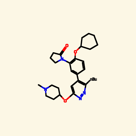 CCCCc1nnc(OC2CCN(C)CC2)cc1-c1ccc(OC2CCCCC2)c(N2CCCC2=O)c1